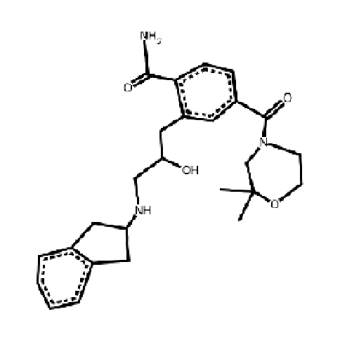 CC1(C)CN(C(=O)c2ccc(C(N)=O)c(CC(O)CNC3Cc4ccccc4C3)c2)CCO1